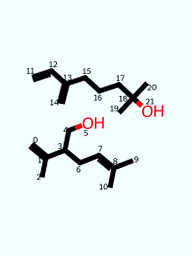 C=C(C)C(CO)CC=C(C)C.C=CC(=C)CCCC(C)(C)O